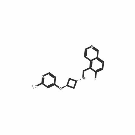 Fc1ccc2cnccc2c1CN[C@H]1C[C@H](Oc2ccnc(C(F)(F)F)c2)C1